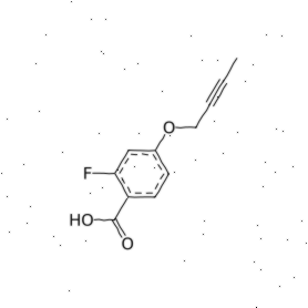 CC#CCOc1ccc(C(=O)O)c(F)c1